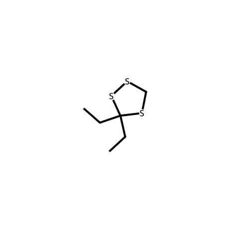 CCC1(CC)SCSS1